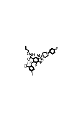 C=CCONC(=O)c1cc(S(=O)(=O)N2CCN(c3ccc(F)cc3)CC2)c(F)c(F)c1Nc1ccc(I)cc1Cl